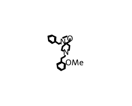 COc1ccccc1CCN1CCC2(CC1)COCCN2Cc1ccccc1